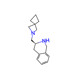 c1ccc2c(c1)CN[C@H](CN1CC3(CCC3)C1)C2